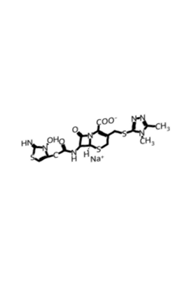 Cc1nnc(SCC2=C(C(=O)[O-])N3C(=O)C(NC(=O)Cc4csc(=N)n4O)[C@@H]3SC2)n1C.[Na+]